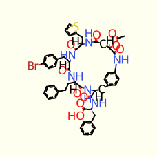 CC(=O)O[C@@H]1CC(=O)N[C@@H](Cc2cccs2)C(=O)N[C@H](Cc2ccc(Br)cc2)C(=O)N[C@@H](CCc2ccccc2)C(=O)N[C@@H](C(=O)N[C@@H](Cc2ccccc2)C(=O)O)Cc2ccc(cc2)NC1=O